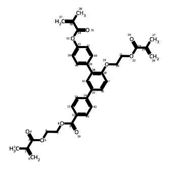 C=C(C)C(=O)OCCOC(=O)c1ccc(-c2ccc(OCCOC(=O)C(=C)C)c(-c3ccc(OC(=O)C(=C)C)cc3)c2)cc1